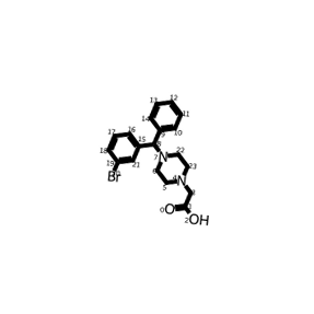 O=C(O)CN1CCN(C(c2ccccc2)c2cccc(Br)c2)CC1